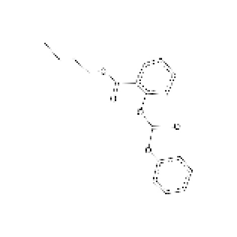 CCCCOC(=O)c1ccccc1OC(=O)Oc1ccccc1